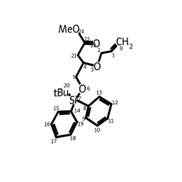 C=CCOC(CO[Si](c1ccccc1)(c1ccccc1)C(C)(C)C)CC(=O)OC